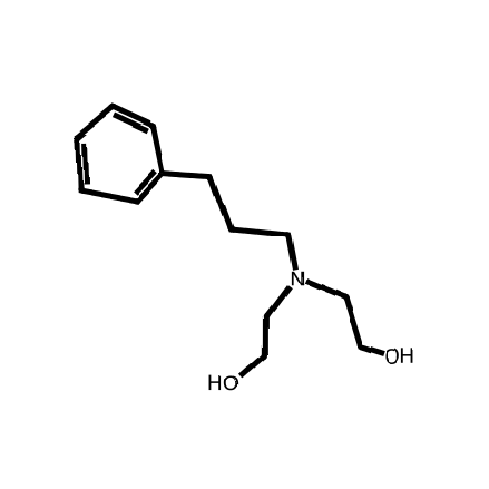 OCCN(CCO)CCCc1ccccc1